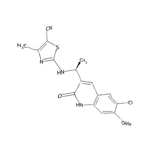 COc1cc2[nH]c(=O)c([C@H](C)Nc3nc(C)c(C#N)s3)cc2cc1Cl